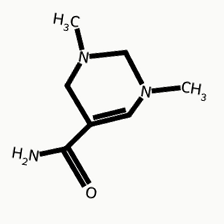 CN1C=C(C(N)=O)CN(C)C1